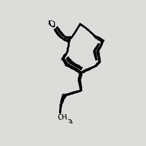 CCCC1=CC(=O)CC=C1